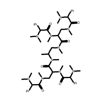 CC(C)C(C(=O)N(C)CC(C(=O)N(C)CC(C)N(C)C(=O)C(CN(C)C(=O)C(C(C)C)N(C)C)N(C)C(=O)C(C(C)C)N(C)C)N(C)C(=O)C(C(C)C)N(C)C)N(C)C